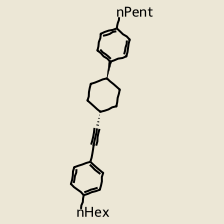 CCCCCCc1ccc(C#C[C@H]2CC[C@H](c3ccc(CCCCC)cc3)CC2)cc1